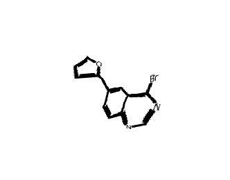 Brc1ncnc2ccc(-c3cc[c]o3)cc12